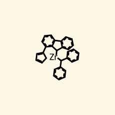 C1=CCC(c2cccc3c2[CH]([Zr][CH](c2ccccc2)c2ccccc2)c2ccccc2-3)=C1